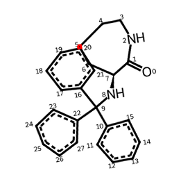 O=C1NCCCC[C@@H]1NC(c1ccccc1)(c1ccccc1)c1ccccc1